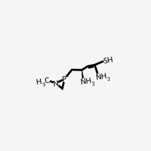 CN1CP1C[C@H](N)/C=C(\N)S